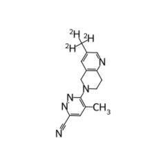 [2H]C([2H])([2H])c1cnc2c(c1)CN(c1nnc(C#N)cc1C)CC2